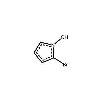 On1cccc1Br